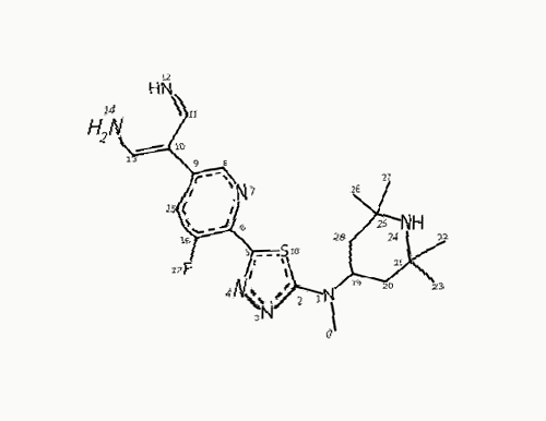 CN(c1nnc(-c2ncc(/C(C=N)=C/N)cc2F)s1)C1CC(C)(C)NC(C)(C)C1